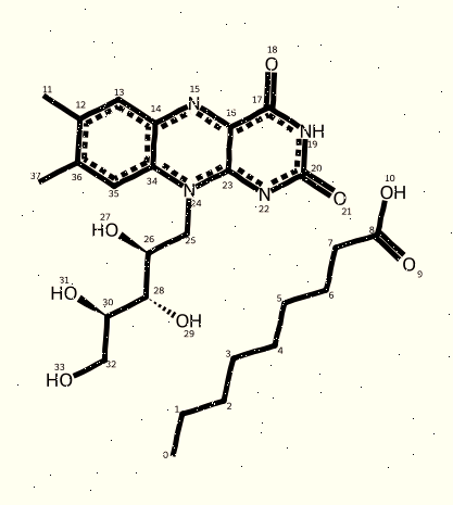 CCCCCCCCC(=O)O.Cc1cc2nc3c(=O)[nH]c(=O)nc-3n(C[C@H](O)[C@H](O)[C@H](O)CO)c2cc1C